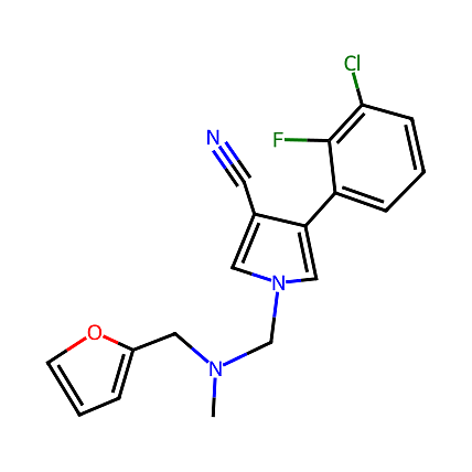 CN(Cc1ccco1)Cn1cc(C#N)c(-c2cccc(Cl)c2F)c1